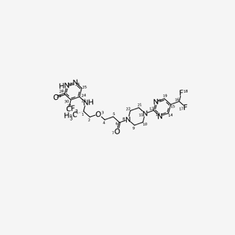 C[C@@H](COCCC(=O)N1CCN(c2ncc(C(F)F)cn2)CC1)Nc1cn[nH]c(=O)c1C(F)(F)F